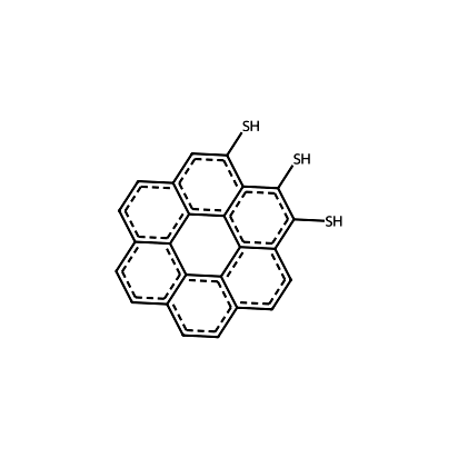 Sc1c(S)c2c(S)cc3ccc4ccc5ccc6ccc1c1c6c5c4c3c21